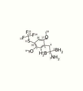 BC(B)(N)Cc1cc(OC)c(SC(F)(F)F)cc1OC